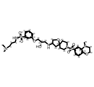 CN(C)CCCNS(=O)(=O)c1cccc(OC[C@@H](O)CNC2COC3(CCN(S(=O)(=O)c4ccc5c(c4)N(C)CCO5)CC3)C2)c1